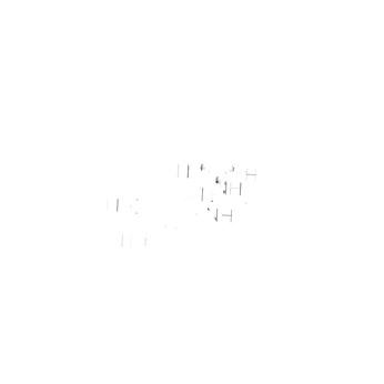 Cc1cc2[nH]c3c(c2cc1C)[C@H]1CC[C@@H](C3)[C@H]1N